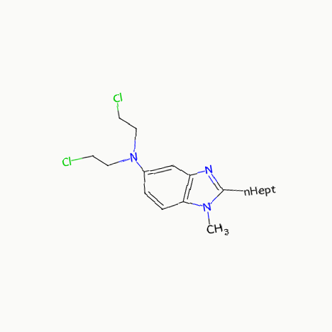 CCCCCCCc1nc2cc(N(CCCl)CCCl)ccc2n1C